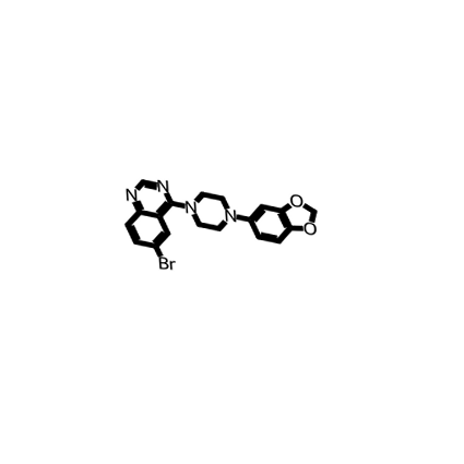 Brc1ccc2ncnc(N3CCN(c4ccc5c(c4)OCO5)CC3)c2c1